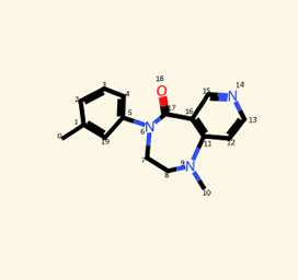 Cc1cccc(N2CCN(C)c3ccncc3C2=O)c1